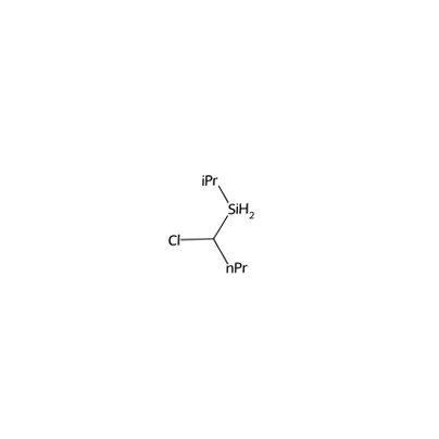 CCCC(Cl)[SiH2]C(C)C